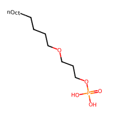 CCCCCCCCCCCCOCCCOP(=O)(O)O